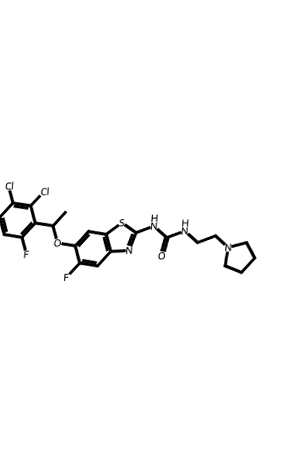 CC(Oc1cc2sc(NC(=O)NCCN3CCCC3)nc2cc1F)c1c(F)ccc(Cl)c1Cl